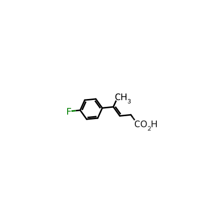 C/C(=C\CC(=O)O)c1ccc(F)cc1